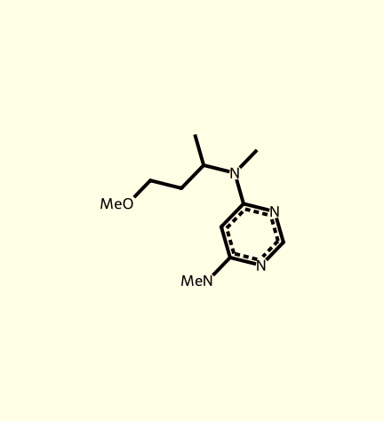 CNc1cc(N(C)C(C)CCOC)ncn1